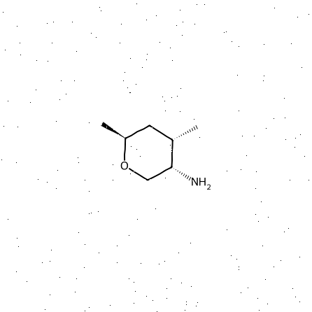 C[C@H]1C[C@H](C)[C@H](N)CO1